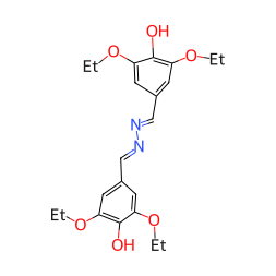 CCOc1cc(C=NN=Cc2cc(OCC)c(O)c(OCC)c2)cc(OCC)c1O